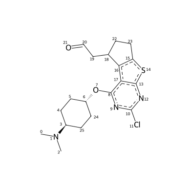 CN(C)[C@H]1CC[C@H](Oc2nc(Cl)nc3sc4c(c23)C(CC=O)CC4)CC1